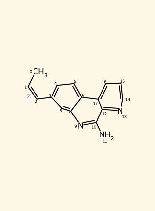 C/C=C\c1ccc2c(c1)nc(N)c1ncccc12